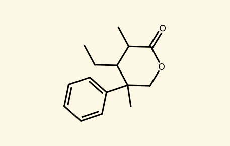 CCC1C(C)C(=O)OCC1(C)c1ccccc1